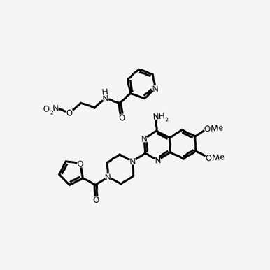 COc1cc2nc(N3CCN(C(=O)c4ccco4)CC3)nc(N)c2cc1OC.O=C(NCCO[N+](=O)[O-])c1cccnc1